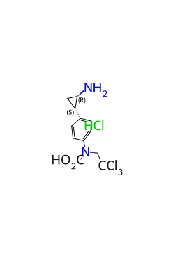 Cl.N[C@@H]1C[C@H]1c1ccc(N(CC(Cl)(Cl)Cl)C(=O)O)cc1